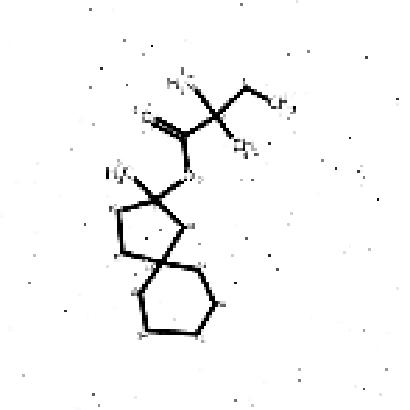 CCC(C)(C)C(=O)OC1(C)CCC2(CCCCC2)C1